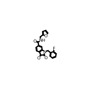 O=C(NCc1ccco1)c1ccc2c(c1)N(Cc1ccccc1F)C(=O)C2=O